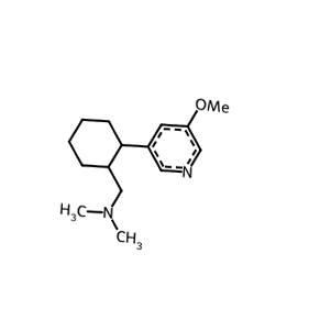 COc1cncc(C2CCCCC2CN(C)C)c1